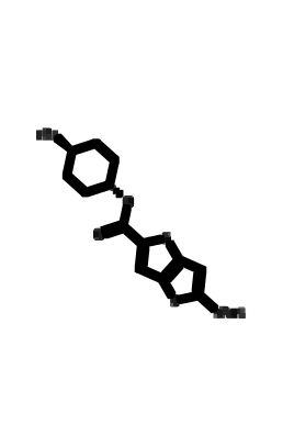 CCCCCc1cc2sc(C(=O)O[C@H]3CC[C@H](CCCC)CC3)cc2s1